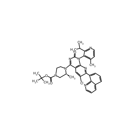 Cc1ccnc(C(C)C)c1-n1c(=O)nc(N2CCN(C(=O)OC(C)(C)C)C[C@@H]2C)c2cc(Cl)c(-c3cccc4cccnc34)nc21